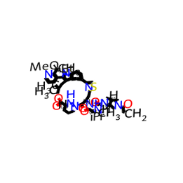 C=CC(=O)N1C[C@H]2CN(C(=O)N(C)[C@H](C(=O)N[C@H]3Cc4nc(cs4)-c4ccc5c(c4)c(c(-c4cccnc4[C@H](C)OC)n5CC)CC(C)(C)COC(=O)[C@@H]4CCCN(N4)C3=O)C(C)C)[C@H]2C1